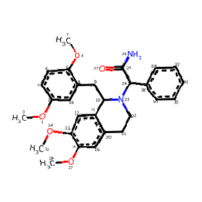 COc1ccc(OC)c(CC2c3cc(OC)c(OC)cc3CCN2C(C(N)=O)c2ccccc2)c1